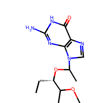 CC[C@H](OC(C)n1cnc2c(=O)[nH]c(N)nc21)C(C)OC